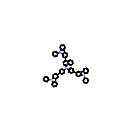 c1ccc(-n2c3ccccc3c3cc(-c4ccc(N(c5ccc(-c6ccc7c(c6)c6ccccc6n7-c6ccccc6)cc5)c5ccc(-c6ccc7c8ccccc8n(-c8ccccc8)c7c6)c6ccccc56)cc4)ccc32)cc1